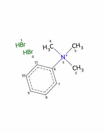 Br.Br.C[N+](C)(C)c1ccccc1